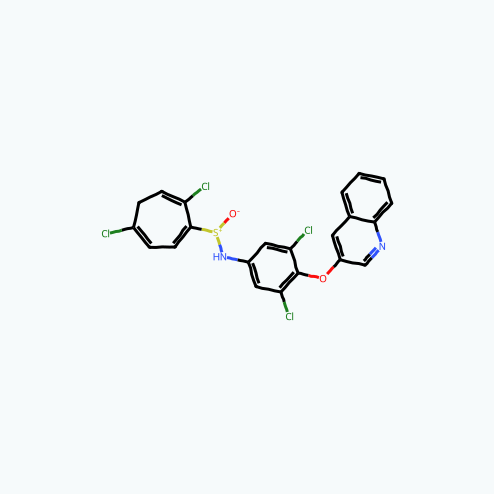 [O-][S+](Nc1cc(Cl)c(Oc2cnc3ccccc3c2)c(Cl)c1)C1=CC=C(Cl)CC=C1Cl